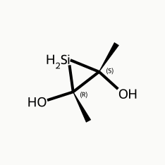 C[C@]1(O)[SiH2][C@@]1(C)O